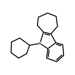 c1ccc2c(c1)c1c(n2C2CCCCC2)CCCCC1